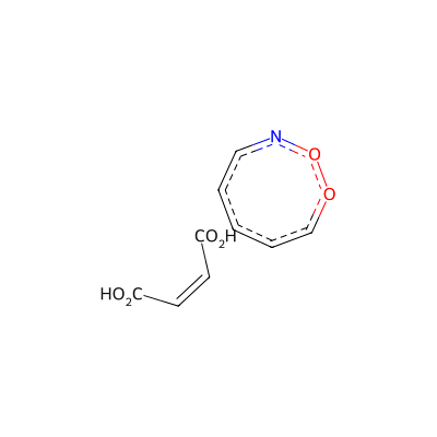 O=C(O)/C=C\C(=O)O.c1ccnoocc1